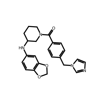 O=C(c1ccc(Cn2ccnc2)cc1)N1CCCC(Nc2ccc3c(c2)OCO3)C1